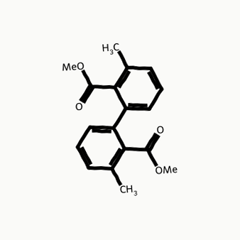 COC(=O)c1c(C)cccc1-c1cccc(C)c1C(=O)OC